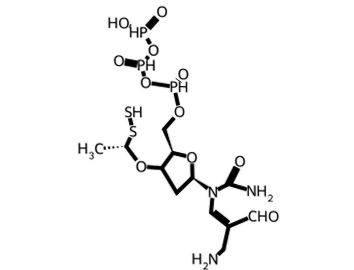 C[C@@H](OC1C[C@H](N(/C=C(\C=O)CN)C(N)=O)O[C@@H]1CO[PH](=O)O[PH](=O)O[PH](=O)O)SS